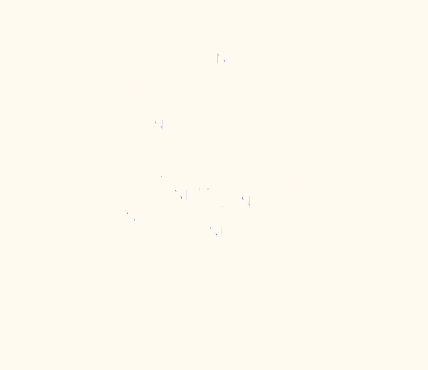 N#CC1(NC(=O)C(CC2CCCCC2)NC(=O)N2CCOCC2)CCN(C(=O)c2ccncc2)CC1